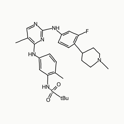 Cc1ccc(Nc2nc(Nc3ccc(C4CCN(C)CC4)c(F)c3)ncc2C)cc1NS(=O)(=O)C(C)(C)C